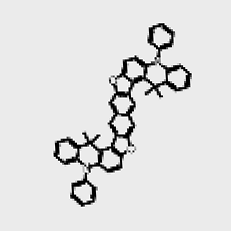 CC1(C)c2ccccc2N(c2ccccc2)c2ccc3oc4cc5cc6c(cc5cc4c3c21)oc1ccc2c(c16)C(C)(C)c1ccccc1N2c1ccccc1